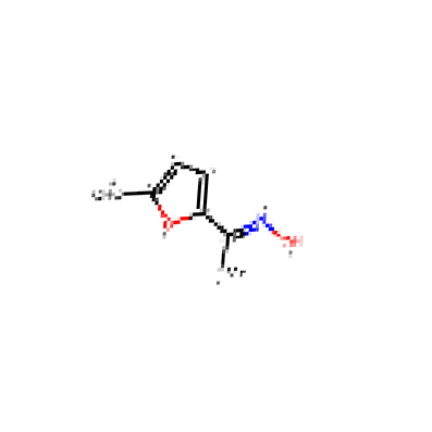 COC(=NO)c1ccc(C=O)o1